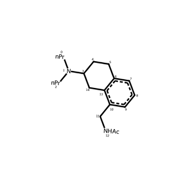 CCCN(CCC)C1CCc2cccc(CNC(C)=O)c2C1